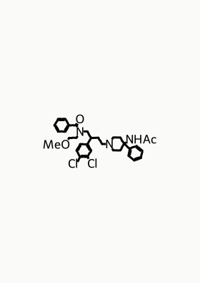 COCCN(CC(CCN1CCC(NC(C)=O)(c2ccccc2)CC1)c1ccc(Cl)c(Cl)c1)C(=O)c1ccccc1